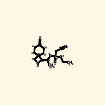 CCOP(=O)(CC#N)OC(C)C1OCC12CCC(=O)CC2